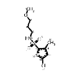 COCCCNS(=O)(=O)c1sc(Cl)cc1C